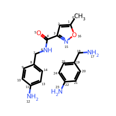 Cc1cc(C(=O)NCc2ccc(N)cc2)no1.NCc1ccc(N)cc1